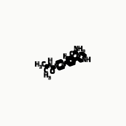 CC(C)NC(=O)N1CCN(c2ccc(C3CNCCN3C(N)=O)cc2F)CC1